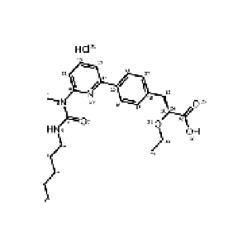 CCCCCNC(=O)N(C)c1cccc(-c2ccc(C[C@H](OCC)C(=O)O)cc2)n1.Cl